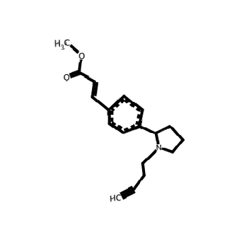 C#CCCN1CCCC1c1ccc(C=CC(=O)OC)cc1